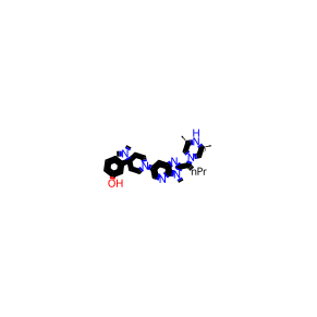 CCCC(c1nc2cc(N3CCC(c4cccc(O)c4)(N(C)C)CC3)cnc2n1C)N1C[C@@H](C)N[C@@H](C)C1